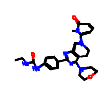 CCNC(=O)Nc1ccc(-c2nc3c(c(N4CCOCC4)n2)CCN(c2cccc(=O)n2C)C3)cc1